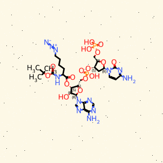 CC(C)(C)OC(=O)NC(CCCCN=[N+]=[N-])C(=O)O[C@H]1[C@@H](O)[C@H](n2cnc3c(N)ncnc32)O[C@H]1COP(=O)(O)O[C@H]1C[C@H](n2ccc(N)nc2=O)O[C@@H]1COP(=O)(O)O